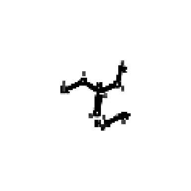 CCCN.CCO[PH](=O)OCC